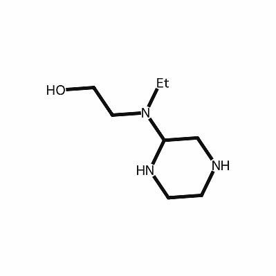 CCN(CCO)C1CNCCN1